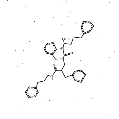 O=C(NCCCc1ccccc1)C(Cc1ccccc1)CC(Cc1ccccc1)C(=O)N[C@@H](CSCc1ccccc1)C(=O)O